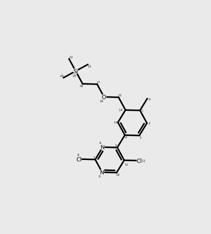 CC1C=CC(c2nc(Cl)ncc2Cl)=CC1COCC[Si](C)(C)C